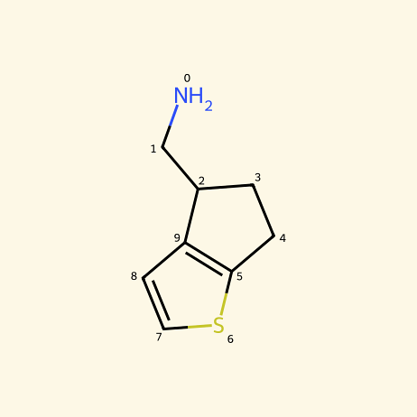 NCC1CCc2sccc21